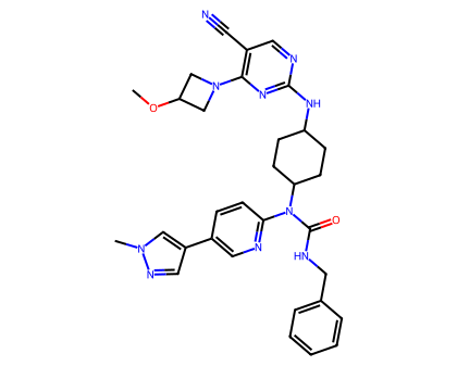 COC1CN(c2nc(NC3CCC(N(C(=O)NCc4ccccc4)c4ccc(-c5cnn(C)c5)cn4)CC3)ncc2C#N)C1